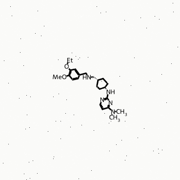 CCOc1cc(CNC[C@H]2CC[C@@H](Nc3nccc(N(C)C)n3)CC2)ccc1OC